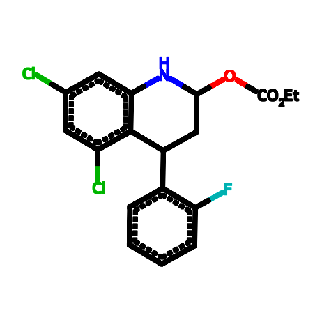 CCOC(=O)OC1CC(c2ccccc2F)c2c(Cl)cc(Cl)cc2N1